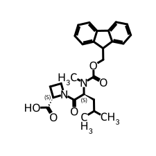 CC(C)C[C@@H](C(=O)N1CC[C@H]1C(=O)O)N(C)C(=O)OCC1c2ccccc2-c2ccccc21